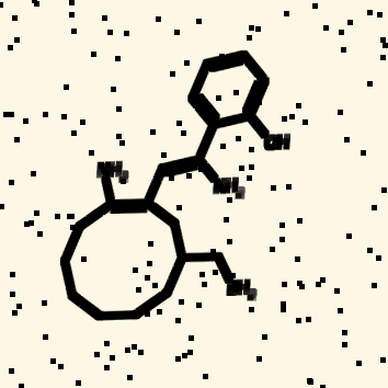 BCC1CCCCCC/C(N)=C(/C=C(\N)c2ccccc2O)C1